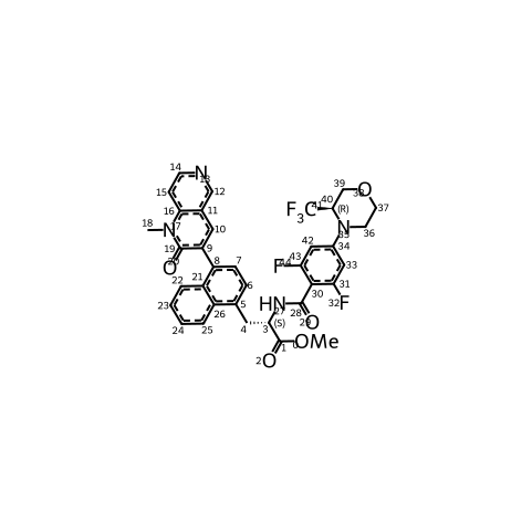 COC(=O)[C@H](Cc1ccc(-c2cc3cnccc3n(C)c2=O)c2ccccc12)NC(=O)c1c(F)cc(N2CCOC[C@@H]2C(F)(F)F)cc1F